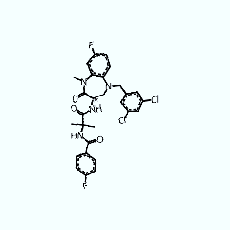 CN1C(=O)[C@H](NC(=O)C(C)(C)NC(=O)c2ccc(F)cc2)CN(Cc2cc(Cl)cc(Cl)c2)c2ccc(F)cc21